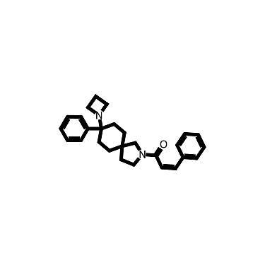 O=C(/C=C\c1ccccc1)N1CCC2(CCC(c3ccccc3)(N3CCC3)CC2)C1